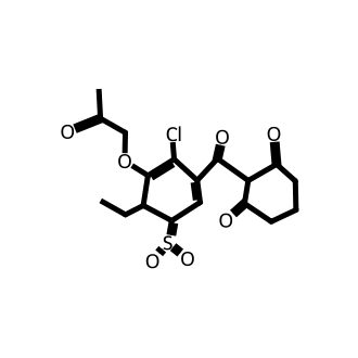 CCC1C(OCC(C)=O)=C(Cl)C(C(=O)C2C(=O)CCCC2=O)=CC1=S(=O)=O